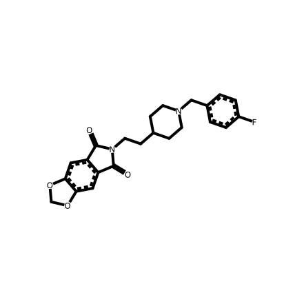 O=C1c2cc3c(cc2C(=O)N1CCC1CCN(Cc2ccc(F)cc2)CC1)OCO3